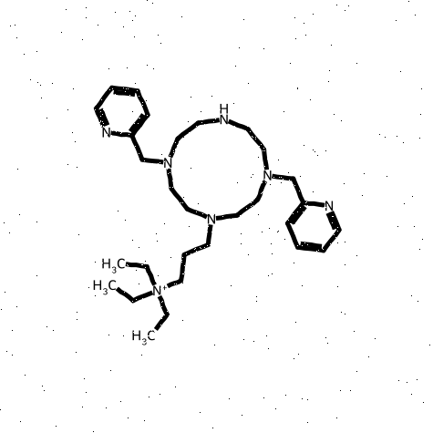 CC[N+](CC)(CC)CCCN1CCN(Cc2ccccn2)CCNCCN(Cc2ccccn2)CC1